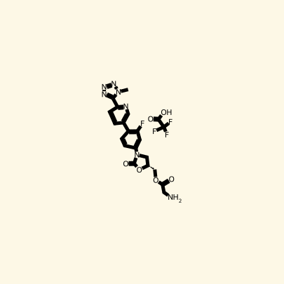 Cn1nnnc1-c1ccc(-c2ccc(N3C[C@H](COC(=O)CN)OC3=O)cc2F)cn1.O=C(O)C(F)(F)F